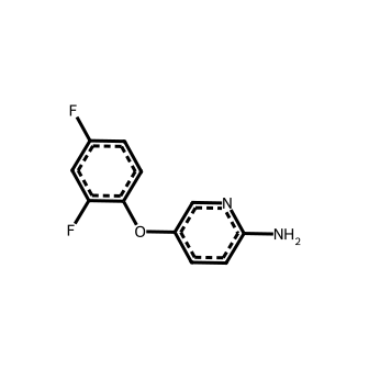 Nc1ccc(Oc2ccc(F)cc2F)cn1